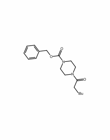 CCC(C)CC(=O)N1CCN(C(=O)OCc2ccccc2)CC1